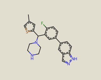 Cc1csc(C(c2cc(-c3ccc4[nH]ncc4c3)ccc2F)N2CCNCC2)c1